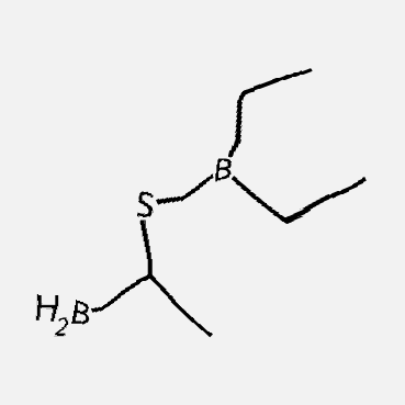 BC(C)SB(CC)CC